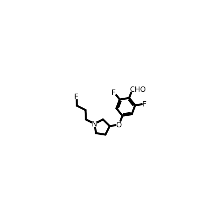 O=Cc1c(F)cc(OC2CCN(CCCF)C2)cc1F